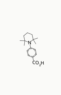 CC1(C)CCCC(C)(C)N1c1ccc(C(=O)O)cc1